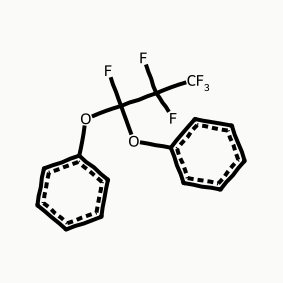 FC(F)(F)C(F)(F)C(F)(Oc1ccccc1)Oc1ccccc1